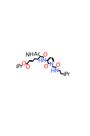 CC(=O)N[C@@H](CCC=CC(=O)OC(C)C)C(=O)Nc1cccn(CC(=O)NCCC(C)C)c1=O